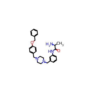 CC(N)C(=O)Nc1cccc(CN2CCN(Cc3ccc(OCc4ccccc4)cc3)CC2)c1